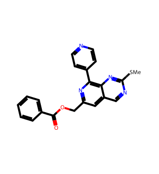 CSc1ncc2cc(COC(=O)c3ccccc3)nc(-c3ccncc3)c2n1